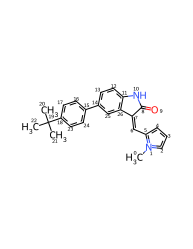 Cn1cccc1C=C1C(=O)Nc2ccc(-c3ccc(C(C)(C)C)cc3)cc21